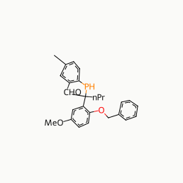 CCCC(C)(Pc1ccc(C)cc1C=O)c1cc(OC)ccc1OCc1ccccc1